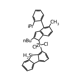 CCCCC1=Cc2c(ccc(C)c2-c2ccccc2C(C)C)[CH]1[Zr]([Cl])([Cl])[c]1cccc2c1[SiH2]c1ccccc1-2